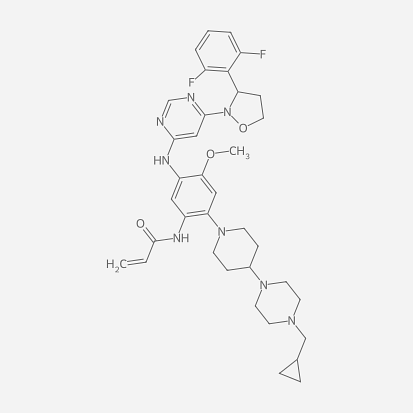 C=CC(=O)Nc1cc(Nc2cc(N3OCCC3c3c(F)cccc3F)ncn2)c(OC)cc1N1CCC(N2CCN(CC3CC3)CC2)CC1